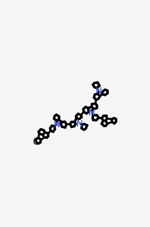 c1ccc(-n2c3ccccc3c3cc(-c4ccc5c(c4)c4ccc(-c6ccc7c8cc(-c9ccc%10c(c9)c9ccccc9n%10-c9ccc(-c%10ccc%11c%12c(cccc%10%12)-c%10ccccc%10-%11)cc9)ccc8n(-c8ccccc8)c7c6)cc4n5-c4cccc(-c5ccc6c7c(cccc57)-c5ccccc5-6)c4)ccc32)cc1